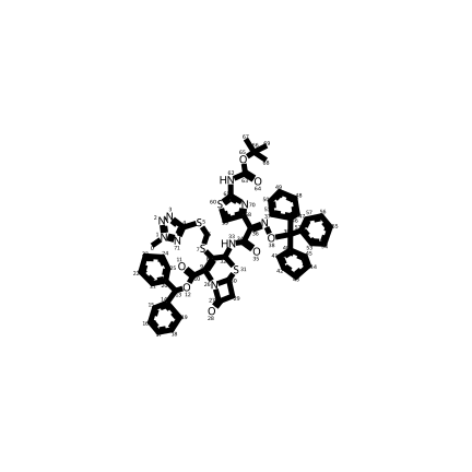 Cn1nnc(SCSC2=C(C(=O)OC(c3ccccc3)c3ccccc3)N3C(=O)CC3SC2NC(=O)/C(=N\OC(c2ccccc2)(c2ccccc2)c2ccccc2)c2csc(NC(=O)OC(C)(C)C)n2)n1